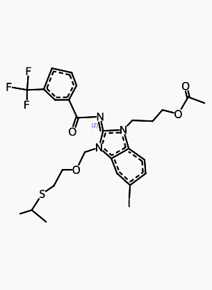 CC(=O)OCCCn1/c(=N/C(=O)c2cccc(C(F)(F)F)c2)n(COCCSC(C)C)c2cc(I)ccc21